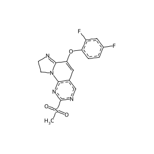 CS(=O)(=O)c1ncc2c(n1)N1CCN=C1C(Oc1ccc(F)cc1F)=C2